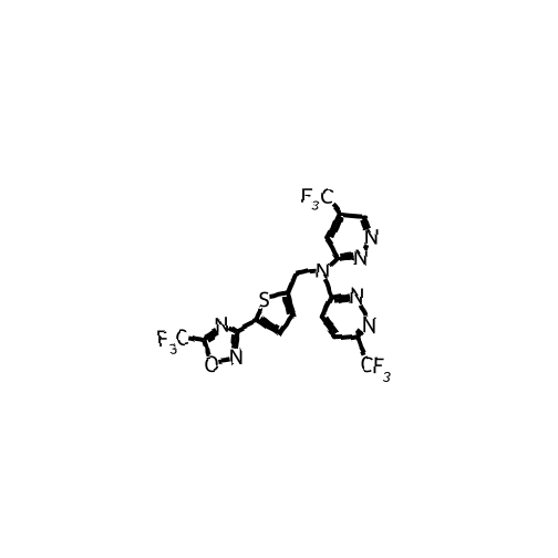 FC(F)(F)c1cnnc(N(Cc2ccc(-c3noc(C(F)(F)F)n3)s2)c2ccc(C(F)(F)F)nn2)c1